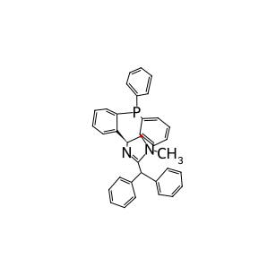 CN1C[C@H](c2ccccc2P(c2ccccc2)c2ccccc2)N=C1C(c1ccccc1)c1ccccc1